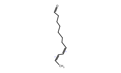 C/C=C\C=C/CCCCCCC=O